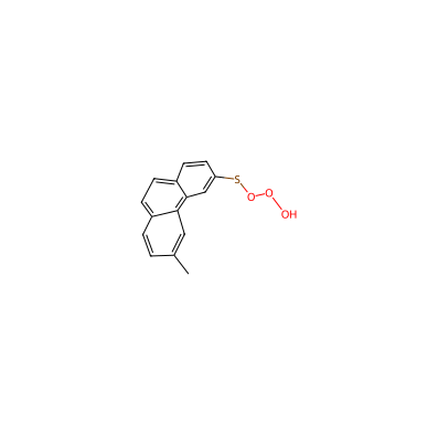 Cc1ccc2ccc3ccc(SOOO)cc3c2c1